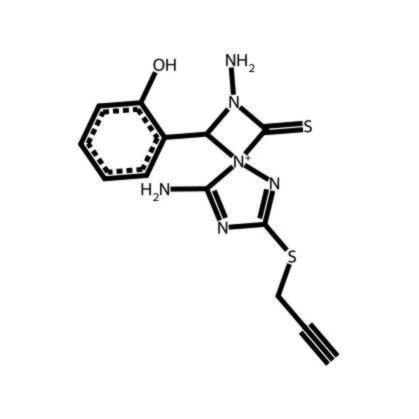 C#CCSC1=N[N+]2(C(=S)N(N)C2c2ccccc2O)C(N)=N1